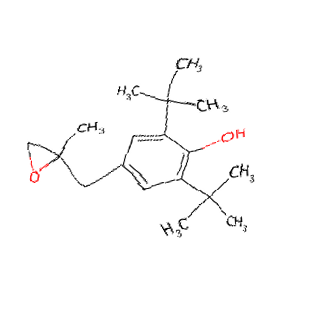 CC1(Cc2cc(C(C)(C)C)c(O)c(C(C)(C)C)c2)CO1